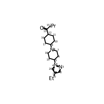 CCc1cnn(C2CCN(C3CCC(C(=O)C(C)C)CC3)CC2)c1